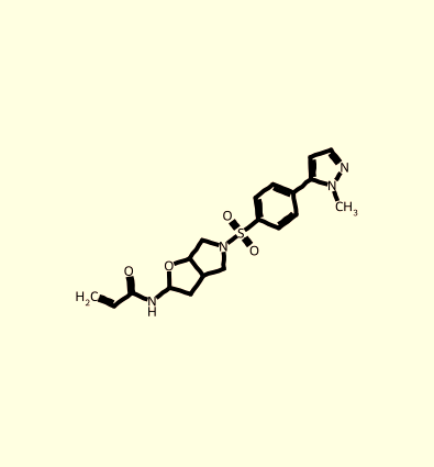 C=CC(=O)NC1CC2CN(S(=O)(=O)c3ccc(-c4ccnn4C)cc3)CC2O1